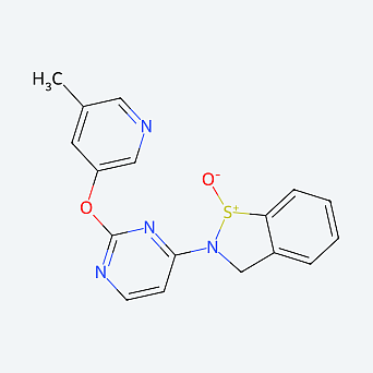 Cc1cncc(Oc2nccc(N3Cc4ccccc4[S+]3[O-])n2)c1